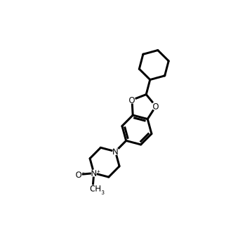 C[N+]1([O-])CCN(c2ccc3c(c2)OC(C2CCCCC2)O3)CC1